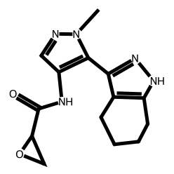 Cn1ncc(NC(=O)C2CO2)c1-c1n[nH]c2c1CCCC2